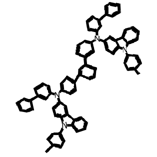 Cc1ccc(-n2c3ccccc3c3cc(N(c4ccc(-c5cccc(-c6cccc(N(c7cccc(-c8ccccc8)c7)c7ccc8c(c7)c7ccccc7n8-c7ccc(C)cc7)c6)c5)cc4)c4cccc(-c5ccccc5)c4)ccc32)cc1